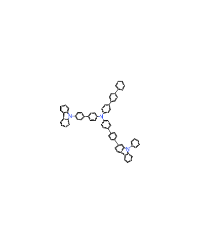 c1ccc(-c2ccc(-c3ccc(N(c4ccc(-c5ccc(-c6ccc7c8ccccc8n(-c8ccccc8)c7c6)cc5)cc4)c4ccc(-c5ccc(-n6c7ccccc7c7ccccc76)cc5)cc4)cc3)cc2)cc1